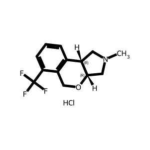 CN1C[C@@H]2OCc3c(cccc3C(F)(F)F)[C@@H]2C1.Cl